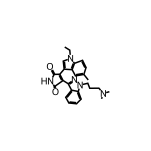 CCn1cc(C2=C(c3nn(CCCN(C)C)c4ccccc34)C(=O)NC2=O)c2cc(C)ccc21